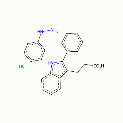 Cl.NNc1ccccc1.O=C(O)CCc1c(-c2ccccc2)[nH]c2ccccc12